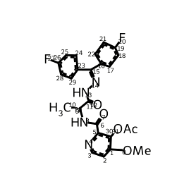 COc1ccnc(C(=O)N[C@@H](C)C(=O)NN=C(c2ccc(F)cc2)c2ccc(F)cc2)c1OC(C)=O